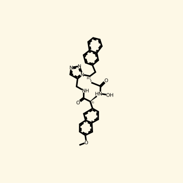 COc1ccc2cc([C@H](C)C(=O)NCc3cnnn3[C@@H](CC(=O)NO)Cc3ccc4ccccc4c3)ccc2c1